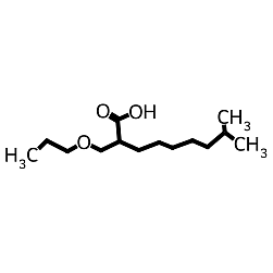 CCCOCC(CCCCCC(C)C)C(=O)O